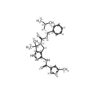 Cc1cc(C(=O)Nc2n[nH]c3c2CN(C(=O)O[C@H](CN(C)C)c2ccccc2)C3(C)C)no1